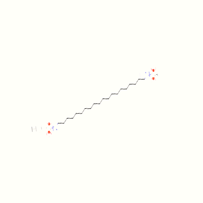 CS(=O)(=O)NCCCCCCCCCCCCCCCCCCCCNS(C)(=O)=O